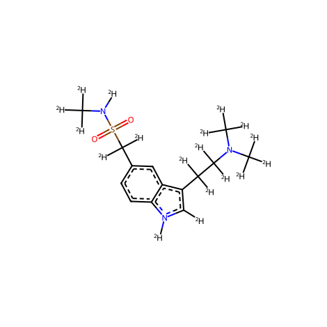 [2H]c1c(C([2H])([2H])C([2H])([2H])N(C([2H])([2H])[2H])C([2H])([2H])[2H])c2cc(C([2H])([2H])S(=O)(=O)N([2H])C([2H])([2H])[2H])ccc2n1[2H]